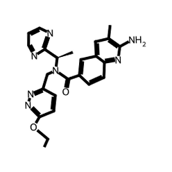 CCOc1ccc(CN(C(=O)c2ccc3nc(N)c(C)cc3c2)[C@H](C)c2ncccn2)nn1